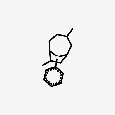 CC1CCC2C(C)CC(C1)P2c1ccccc1